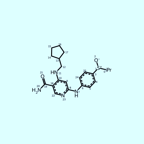 CC(C)[S+]([O-])c1ccc(Nc2cc(NCC3CCCC3)c(C(N)=O)cn2)cc1